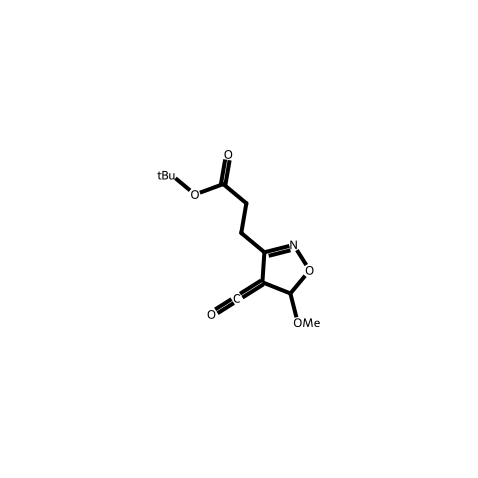 COC1ON=C(CCC(=O)OC(C)(C)C)C1=C=O